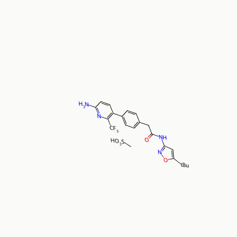 CC(C)(C)c1cc(NC(=O)Cc2ccc(-c3ccc(N)nc3C(F)(F)F)cc2)no1.CS(=O)(=O)O